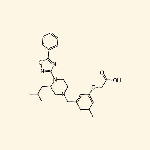 Cc1cc(CN2CCN(c3noc(-c4ccccc4)n3)[C@H](CC(C)C)C2)cc(OCC(=O)O)c1